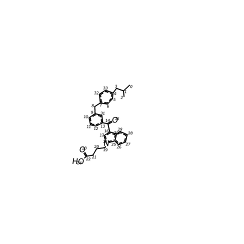 CC(C)Cc1ccc(Cc2cccc(C(=O)c3cn(CCCC(=O)O)c4ccccc34)c2)cc1